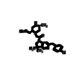 COC[C@H]1CN[C@H](C)CN1CC(=O)N1CC(C)(C)c2cnc(Cc3ccc(Cl)cc3)cc21